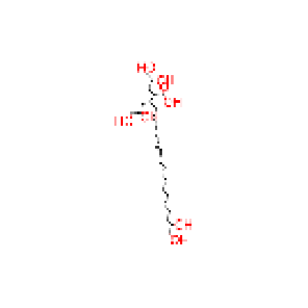 O=C(O)C(CC(O)CO)C(CCCCCC=CCCCCCCCCCC(O)CO)CC(O)CO